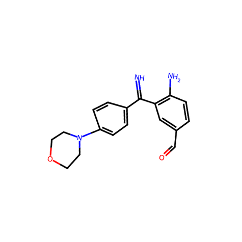 N=C(c1ccc(N2CCOCC2)cc1)c1cc(C=O)ccc1N